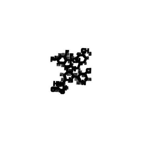 CC1CCC(Cn2c(C(C)(F)c3ccc(F)cc3F)nc3cc(-c4noc(=O)[nH]4)nc(-c4cncc(Cl)c4)c32)CC1